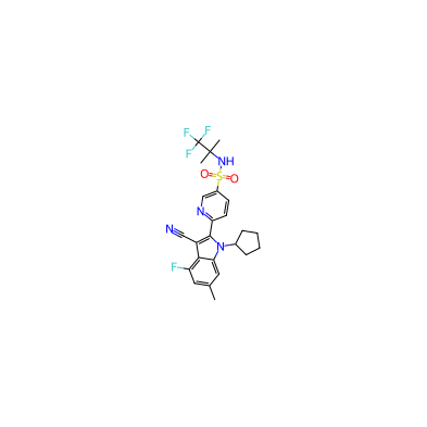 Cc1cc(F)c2c(C#N)c(-c3ccc(S(=O)(=O)NC(C)(C)C(F)(F)F)cn3)n(C3CCCC3)c2c1